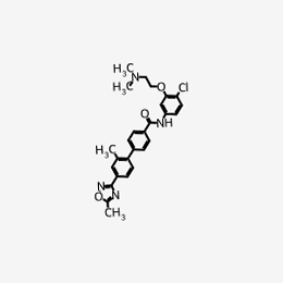 Cc1nc(-c2ccc(-c3ccc(C(=O)Nc4ccc(Cl)c(OCCN(C)C)c4)cc3)c(C)c2)no1